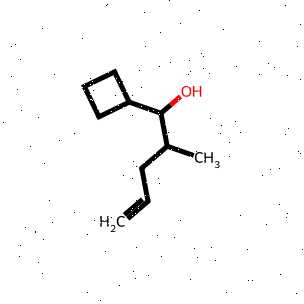 C=CCC(C)C(O)C1CCC1